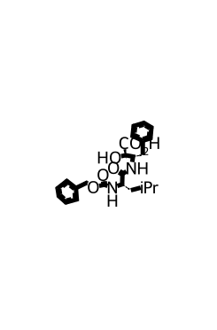 CC(C)C[C@H](NC(=O)OCc1ccccc1)C(=O)N[C@@H](Cc1ccccc1)[C@@H](O)C(=O)O